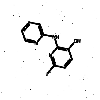 Oc1ccc(I)nc1Nc1ccccn1